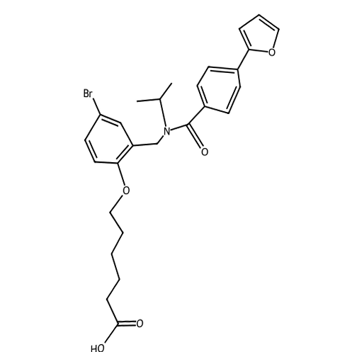 CC(C)N(Cc1cc(Br)ccc1OCCCCCC(=O)O)C(=O)c1ccc(-c2ccco2)cc1